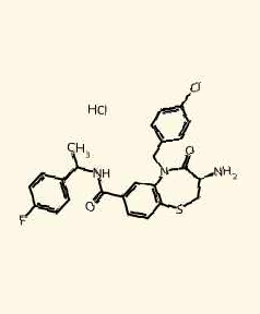 CC(NC(=O)c1ccc2c(c1)N(Cc1ccc(Cl)cc1)C(=O)[C@@H](N)CS2)c1ccc(F)cc1.Cl